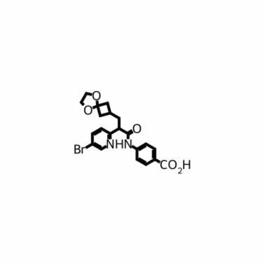 O=C(O)c1ccc(NC(=O)C(CC2CC3(C2)OCCO3)c2ccc(Br)cn2)cc1